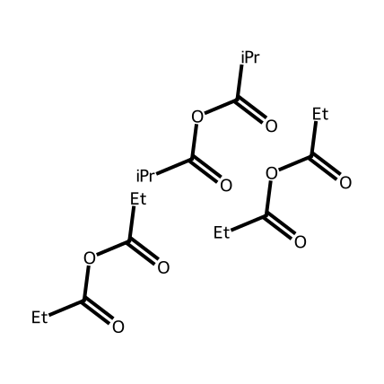 CC(C)C(=O)OC(=O)C(C)C.CCC(=O)OC(=O)CC.CCC(=O)OC(=O)CC